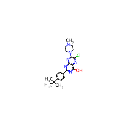 CN1CCN(c2nc3nc(-c4ccc(C(C)(C)C)cc4)nc(O)c3nc2Cl)CC1